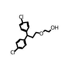 OCCOCCC(c1ccc(Cl)cc1)c1ccc(Cl)cc1